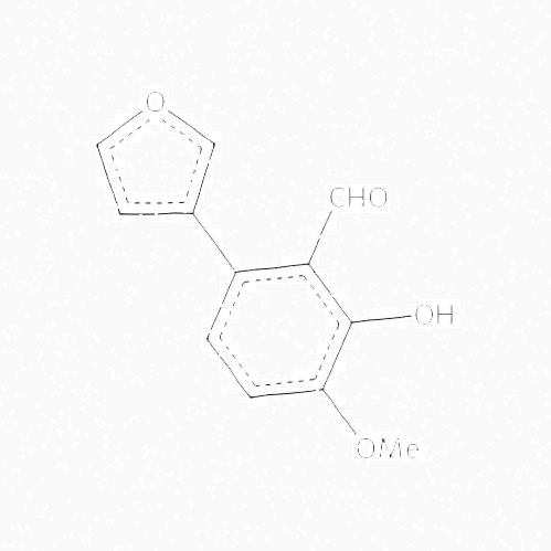 COc1ccc(-c2ccoc2)c(C=O)c1O